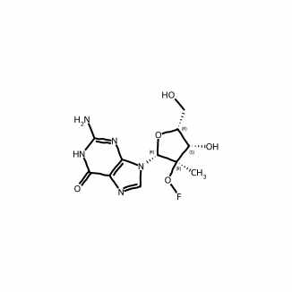 C[C@@]1(OF)[C@@H](O)[C@@H](CO)O[C@H]1n1cnc2c(=O)[nH]c(N)nc21